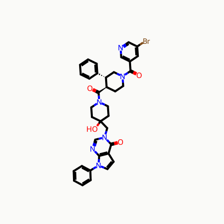 O=C(c1cncc(Br)c1)N1CC[C@@H](C(=O)N2CCC(O)(Cn3cnc4c(ccn4-c4ccccc4)c3=O)CC2)[C@H](c2ccccc2)C1